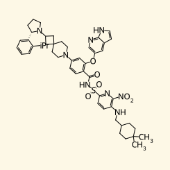 CC(C)c1ccccc1[C@@H]1CCCN1C1CC2(CCN(c3ccc(C(=O)NS(=O)(=O)c4ccc(NCC5CCC(C)(C)CC5)c([N+](=O)[O-])n4)c(Oc4cnc5[nH]ccc5c4)c3)CC2)C1